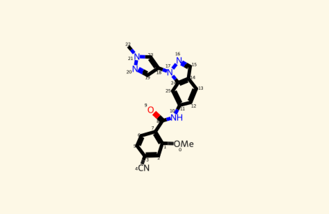 COc1cc(C#N)ccc1C(=O)Nc1ccc2cnn(-c3cnn(C)c3)c2c1